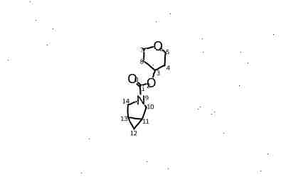 O=C(OC1CCOCC1)N1CC2CC2C1